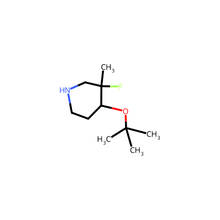 CC(C)(C)OC1CCNCC1(C)F